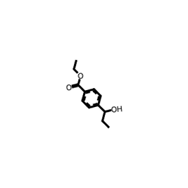 CCOC(=O)c1ccc(C(O)CC)cc1